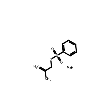 C=C(C)COS(=O)(=O)c1ccccc1.[NaH]